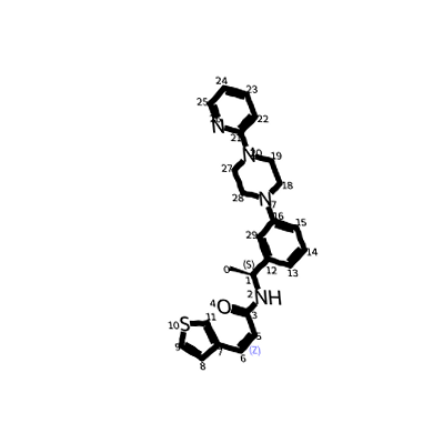 C[C@H](NC(=O)/C=C\c1ccsc1)c1cccc(N2CCN(c3ccccn3)CC2)c1